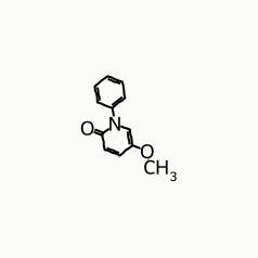 COc1ccc(=O)n(-c2ccccc2)c1